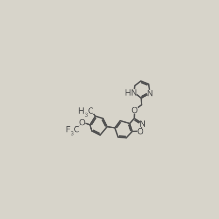 Cc1cc(-c2ccc3onc(OCC4=NC=CCN4)c3c2)ccc1OC(F)(F)F